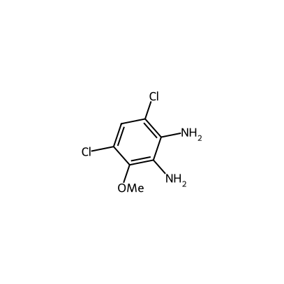 COc1c(Cl)cc(Cl)c(N)c1N